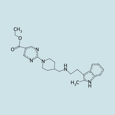 CCOC(=O)c1cnc(N2CCC(CNCCc3c(C)[nH]c4ccccc34)CC2)nc1